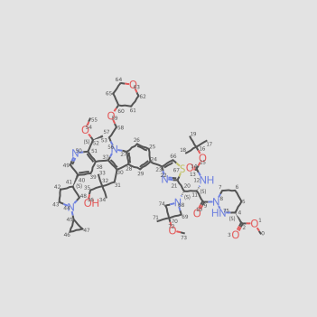 COC(=O)[C@@H]1CCCN(C(=O)[C@@H](NC(=O)OC(C)(C)C)[C@@H](c2nc(-c3ccc4c(c3)c(CC(C)(C)CO)c(-c3cc([C@@H]5CCN(C6CC6)C5)cnc3[C@H](C)OC)n4CCOC3CCOCC3)cs2)N2CC(C)(OC)C2)N1